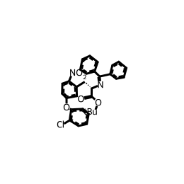 CC(C)(C)OC(=O)[C@H](Cc1cc(Oc2ccccc2Cl)ccc1[N+](=O)[O-])N=C(c1ccccc1)c1ccccc1